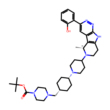 C[C@@H]1c2c([nH]c3nnc(-c4ccccc4O)cc23)CCN1C1CCN([C@H]2CC[C@@H](CN3CCN(C(=O)OC(C)(C)C)CC3)CC2)CC1